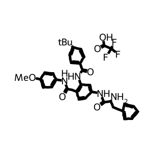 COc1ccc(NC(=O)c2ccc(NC(=O)[C@@H](N)Cc3ccccc3)cc2NC(=O)c2ccc(C(C)(C)C)cc2)cc1.O=C(O)C(F)(F)F